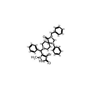 Cn1[nH]c(=O)c(Br)c1C(c1ccccc1)N1CCC2(CC1)C(=O)N(Cc1ccccc1)CN2c1ccccc1